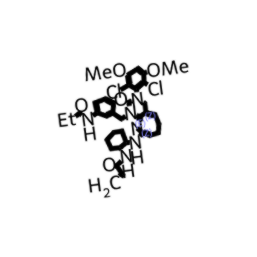 C=CC(=O)NC1CCCCC1NC1=C\CC/C=C2/CN(c3c(Cl)c(OC)cc(OC)c3Cl)C(=O)N(Cc3cccc(NC(=O)CC)c3)/C2=N/1